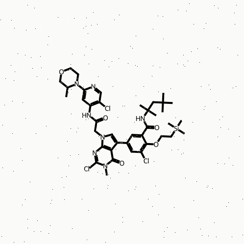 CC1COCCN1c1cc(NC(=O)Cn2cc(-c3cc(Cl)c(OCC[Si](C)(C)C)c(C(=O)NC(C)(C)CC(C)(C)C)c3)c3c(=O)n(C)c(Cl)nc32)c(Cl)cn1